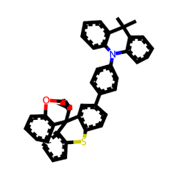 CC1(C)c2ccccc2N(c2ccc(-c3ccc4c(c3)C3(c5ccccc5Oc5ccccc53)c3ccccc3S4)cc2)c2ccccc21